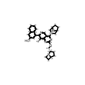 Oc1cc(-c2ncc3c(N4CC5CCC(C4)N5)nc(OC[C@@H]4CCC5CCN54)nc3c2F)c2ccccc2c1